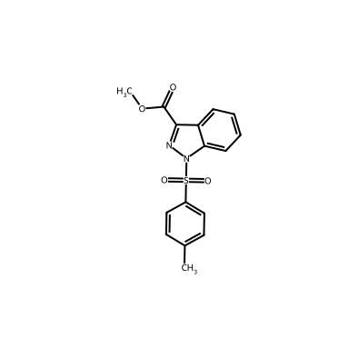 COC(=O)c1nn(S(=O)(=O)c2ccc(C)cc2)c2ccccc12